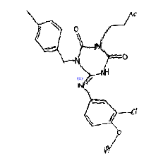 CC(=O)CCn1c(=O)[nH]/c(=N\c2ccc(OC(C)C)c(Cl)c2)n(Cc2ccc(C)cc2)c1=O